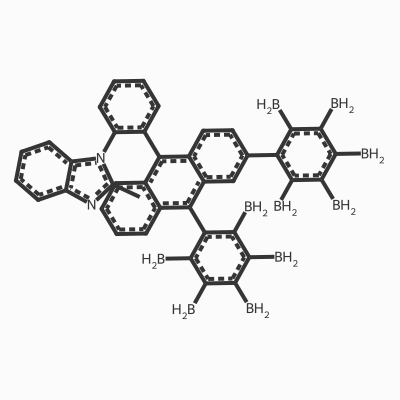 Bc1c(B)c(B)c(-c2ccc3c(-c4ccccc4-n4c(C)nc5ccccc54)c4ccccc4c(-c4c(B)c(B)c(B)c(B)c4B)c3c2)c(B)c1B